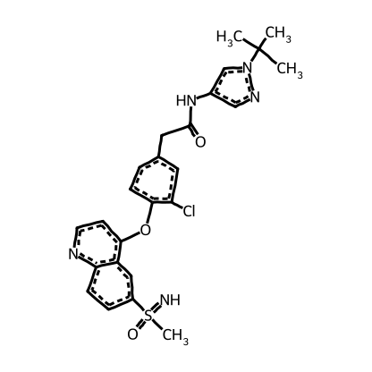 CC(C)(C)n1cc(NC(=O)Cc2ccc(Oc3ccnc4ccc(S(C)(=N)=O)cc34)c(Cl)c2)cn1